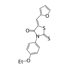 CCOc1ccc(N2C(=O)C(=Cc3ccco3)SC2=S)cc1